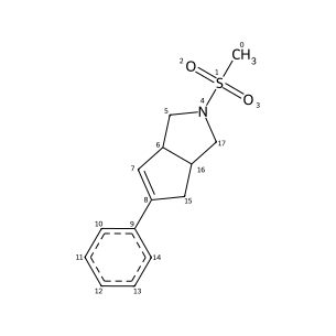 CS(=O)(=O)N1CC2C=C(c3ccccc3)CC2C1